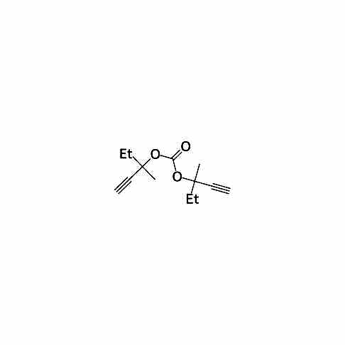 C#CC(C)(CC)OC(=O)OC(C)(C#C)CC